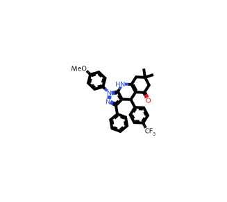 COc1ccc(-n2nc(-c3ccccc3)c3c2NC2=C(C(=O)CC(C)(C)C2)C3c2ccc(C(F)(F)F)cc2)cc1